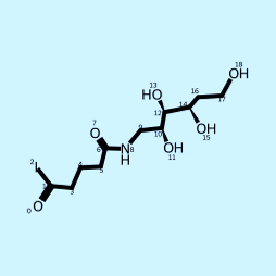 O=C(I)CCCC(=O)NC[C@H](O)[C@@H](O)[C@H](O)CCO